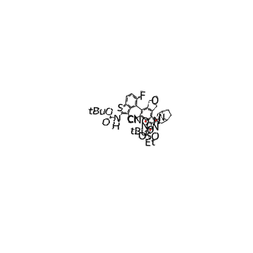 CCS(=O)(=O)c1nc(N2C3CCC2CN(C(=O)OC(C)(C)C)C3)c2c3c(c(-c4c(F)ccc5sc(NC(=O)OC(C)(C)C)c(C#N)c45)c(Cl)c2n1)COC3